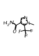 Cn1ncc(C(N)=O)c1C(F)(F)F